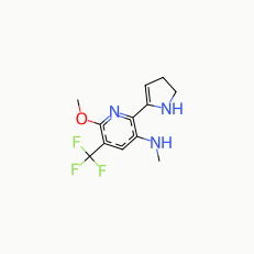 CNc1cc(C(F)(F)F)c(OC)nc1C1=CCCN1